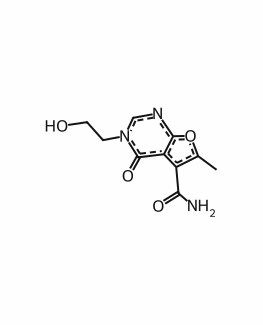 Cc1oc2ncn(CCO)c(=O)c2c1C(N)=O